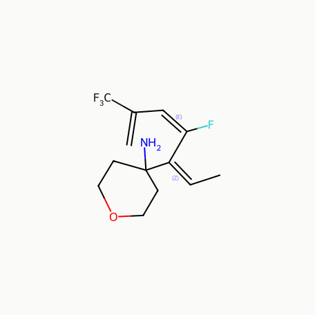 C=C(/C=C(F)\C(=C/C)C1(N)CCOCC1)C(F)(F)F